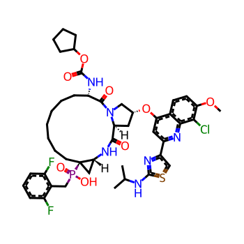 COc1ccc2c(O[C@@H]3C[C@H]4C(=O)N[C@@H]5C[C@]5(P(=O)(O)Cc5c(F)cccc5F)CCCCCCC[C@H](NC(=O)OC5CCCC5)C(=O)N4C3)cc(-c3csc(NC(C)C)n3)nc2c1Cl